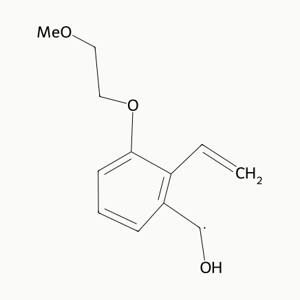 C=Cc1c([CH]O)cccc1OCCOC